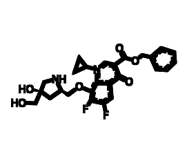 O=C(OCc1ccccc1)c1cn(C2CC2)c2c(OC[C@H]3C[C@@](O)(CO)CN3)c(F)c(F)cc2c1=O